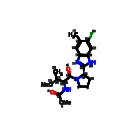 COC(=O)N[C@H](C(=O)N1CCC[C@H]1c1nc2cc(C)c(F)cc2[nH]1)[C@@H](C)OC